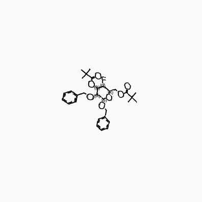 CC(C)(C)C(=O)OC[C@H]1O[C@H](OCc2ccccc2)[C@H](OCc2ccccc2)[C@@H](OC(=O)C(C)(C)C)[C@@H]1F